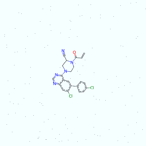 C=CC(=O)N1CCN(c2ncnc3cc(Cl)c(-c4ccc(Cl)cc4)cc23)CC1C#N